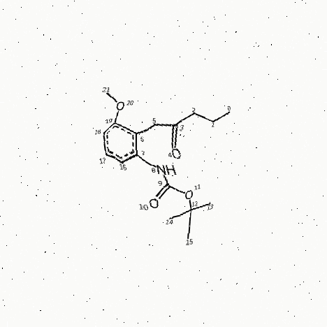 CCCC(=O)Cc1c(NC(=O)OC(C)(C)C)cccc1OC